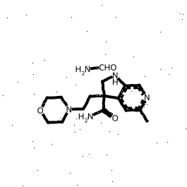 Cc1cc2c(cn1)NCC2(CCN1CCOCC1)C(N)=O.NC=O